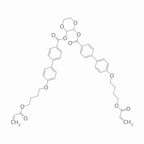 C=CC(=O)OCCCCOc1ccc(-c2ccc(C(=O)OC3OCCOC3OC(=O)c3ccc(-c4ccc(OCCCCOC(=O)C=C)cc4)cc3)cc2)cc1